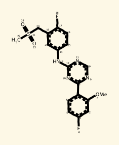 COc1cc(F)ccc1-c1ncnc(Nc2ccc(F)c(CS(C)(=O)=O)c2)n1